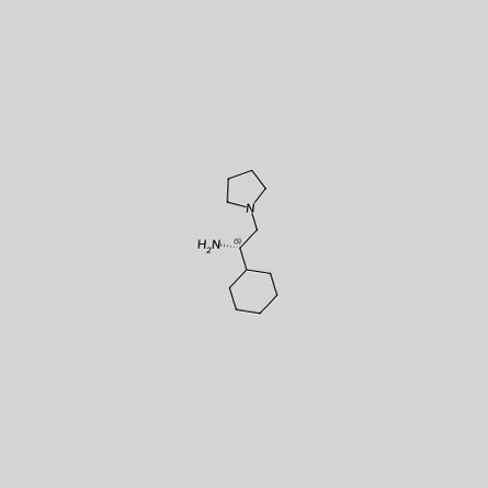 N[C@H](CN1CCCC1)C1CCCCC1